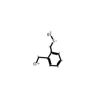 CCSCc1ccccc1CCl